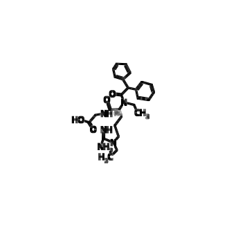 CCN(CCC[C@H](C(=O)NCC(=O)O)N(CC)C(=O)C(c1ccccc1)c1ccccc1)C(=N)N